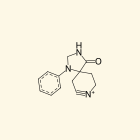 O=C1NCN(c2ccccc2)C12CC#[N+]CC2